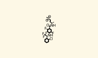 C[C@H](/C=C/S(C)(=O)=O)NC(=O)c1cc(F)c(N[C@H](c2ccccc2Cl)C(F)(F)F)cc1F